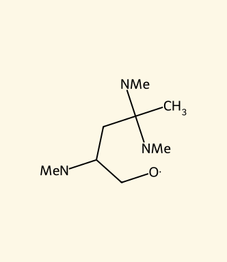 CNC(C[O])CC(C)(NC)NC